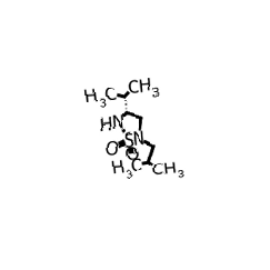 CC(C)CN1C[C@@H](C(C)C)NS1(=O)=O